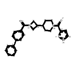 O=C(c1ccc(-c2ccccc2)cc1)N1CC(C2CCN(C(=O)c3ccns3)CC2)C1